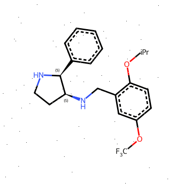 CC(C)Oc1ccc(OC(F)(F)F)cc1CN[C@H]1CCN[C@H]1c1ccccc1